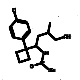 CC(CO)CC(N[S+]([O-])C(C)(C)C)C1(c2ccc(Cl)cc2)CCC1